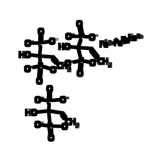 C=CC(O)(P(=O)([O-])[O-])P(=O)([O-])[O-].C=CC(O)(P(=O)([O-])[O-])P(=O)([O-])[O-].C=CC(O)(P(=O)([O-])[O-])P(=O)([O-])[O-].[Fe+3].[Fe+3].[Fe+3].[Fe+3]